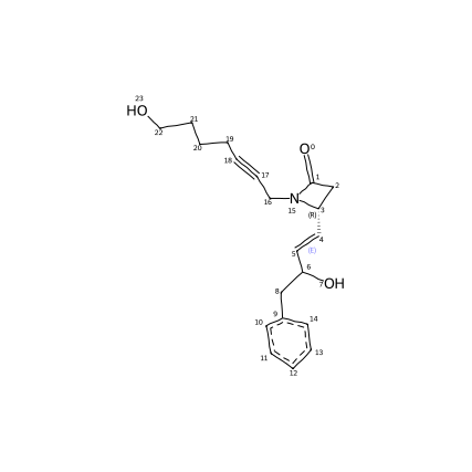 O=C1C[C@H](/C=C/C(O)Cc2ccccc2)N1CC#CCCCCO